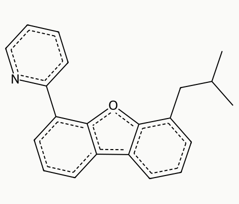 CC(C)Cc1cccc2c1oc1c(-c3ccccn3)cccc12